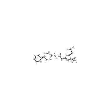 CC(C)Cc1cc(CNCCN2CCN(c3ccccc3)CC2)nn1C(C)(C)C